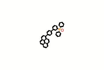 O=P(c1ccccc1)(c1ccccc1)c1cccc(-c2ccc(-c3ccc4ccc5cccc6ccc3c4c56)cc2)c1